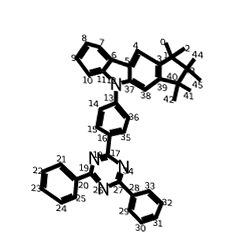 CC1(C)c2cc3c4ccccc4n(-c4ccc(-c5nc(-c6ccccc6)nc(-c6ccccc6)n5)cc4)c3cc2C(C)(C)C1(C)C